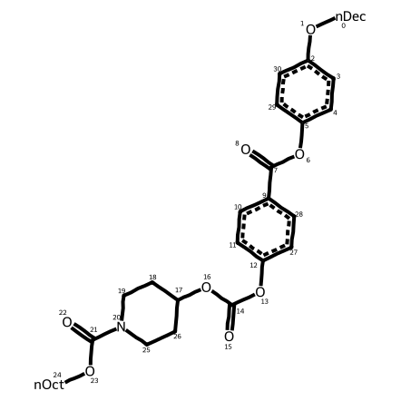 CCCCCCCCCCOc1ccc(OC(=O)c2ccc(OC(=O)OC3CCN(C(=O)OCCCCCCCC)CC3)cc2)cc1